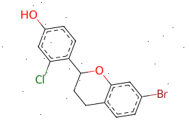 Oc1ccc(C2CCc3ccc(Br)cc3O2)c(Cl)c1